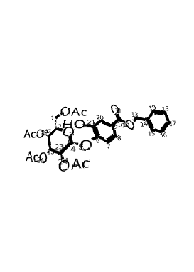 CC(=O)OC[C@@H]1O[C@H](Oc2ccc(C(=O)OCc3ccccc3)cc2O)[C@@H](OC(C)=O)[C@H](OC(C)=O)[C@@H]1OC(C)=O